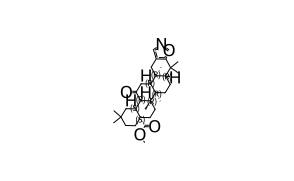 COC(=O)[C@]12CCC(C)(C)C[C@H]1[C@H]1C(=O)C[C@@H]3[C@@]4(C)Cc5cnoc5C(C)(C)[C@@H]4CC[C@@]3(C)[C@]1(C)CC2